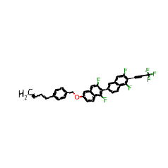 C=CCCc1ccc(COc2ccc3c(F)c(-c4ccc5c(F)c(C#CC(F)(F)F)c(F)cc5c4)c(F)cc3c2)cc1